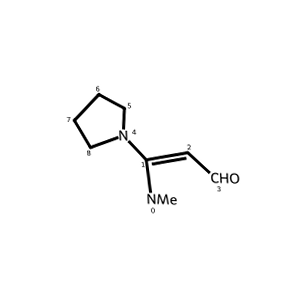 CNC(=CC=O)N1CCCC1